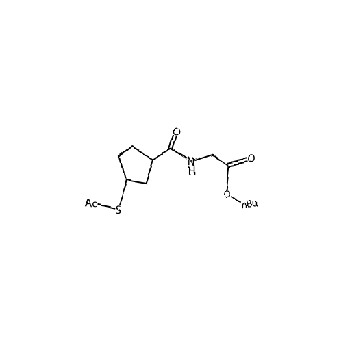 CCCCOC(=O)CNC(=O)C1CCC(SC(C)=O)C1